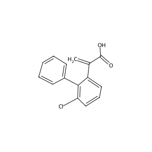 C=C(C(=O)O)c1cccc(Cl)c1-c1ccccc1